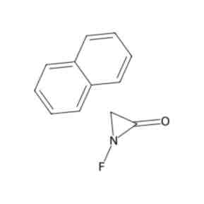 O=C1CN1F.c1ccc2ccccc2c1